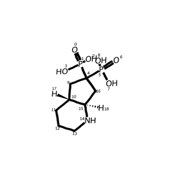 O=P(O)(O)C1(P(=O)(O)O)C[C@H]2CCCN[C@@H]2C1